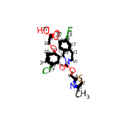 Cc1csc(COC(=O)N2CCc3cc(F)ccc3[C@H]2c2cc(Cl)ccc2OCC(=O)O)n1